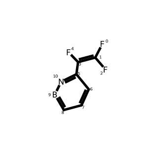 FC(F)=C(F)c1cccbn1